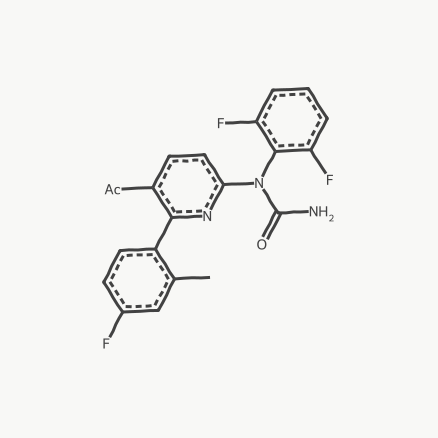 CC(=O)c1ccc(N(C(N)=O)c2c(F)cccc2F)nc1-c1ccc(F)cc1C